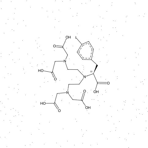 O=C(O)CN(CCN(CCN(CC(=O)O)CC(=O)O)[C@@H](Cc1ccc(I)cc1)C(=O)O)CC(=O)O